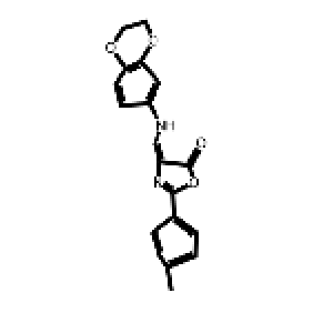 Cc1ccc(C2=N/C(=C/Nc3ccc4c(c3)OCCO4)C(=O)O2)cc1